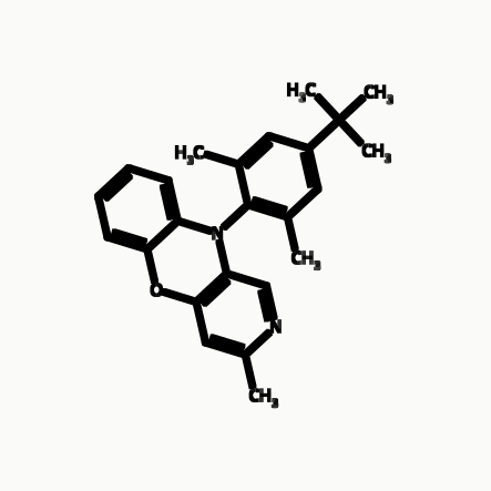 Cc1cc2c(cn1)N(c1c(C)cc(C(C)(C)C)cc1C)c1ccccc1O2